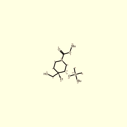 CC[C@@]1(CO)CCN(C(=O)OC(C)(C)C)C[C@@H]1O[Si](C)(C)C(C)(C)C